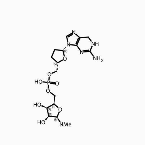 CN[C@@H]1O[C@H](COP(=O)(O)OC[C@@H]2CC[C@H](n3cnc4c3N=C(N)NC4)O2)[C@H](O)[C@@H]1O